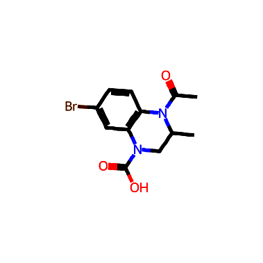 CC(=O)N1c2ccc(Br)cc2N(C(=O)O)CC1C